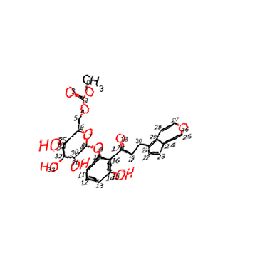 COC(=O)OC[C@H]1O[C@@H](Oc2cccc(O)c2C(=O)CCc2ccc3coccc2-3)[C@H](O)[C@@H](O)[C@@H]1O